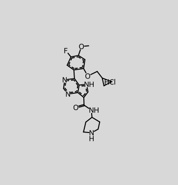 COc1cc(OCC2CC2)c(-c2ncnc3c(C(=O)NC4CCNCC4)c[nH]c23)cc1F.Cl